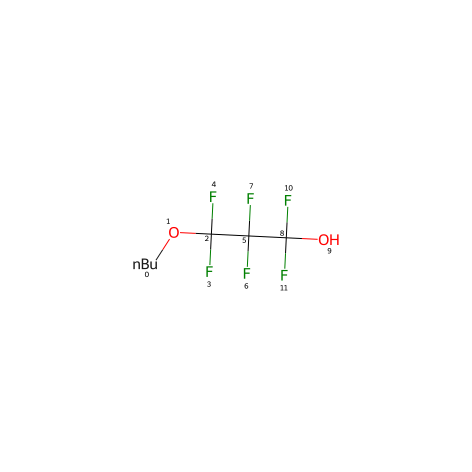 CCCCOC(F)(F)C(F)(F)C(O)(F)F